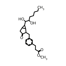 CCCCCC(O)C(O)C1C2CC(=O)C(Cc3cccc(CCC(=O)OC)c3)C21